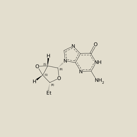 CC[C@H]1O[C@@H](n2cnc3c(=O)[nH]c(N)nc32)[C@H]2O[C@H]21